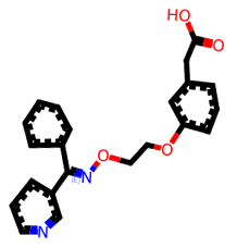 O=C(O)Cc1cccc(OCCO/N=C(\c2ccccc2)c2cccnc2)c1